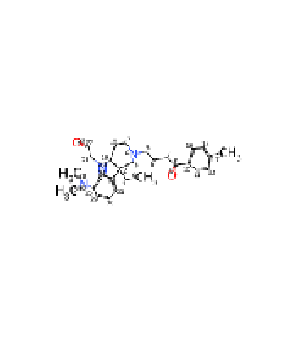 CCC12CN(CCCC(=O)c3ccc(C)cc3)CCC1N(CC=O)c1c(N(C)C)cccc12